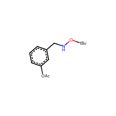 CC(=O)Oc1cccc(CNOC(C)(C)C)c1